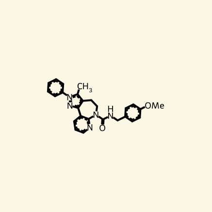 COc1ccc(CNC(=O)N2CCc3c(nn(-c4ccccc4)c3C)-c3cccnc32)cc1